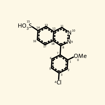 COc1cc(Cl)ccc1-c1nncc2cc(S(=O)(=O)O)ccc12